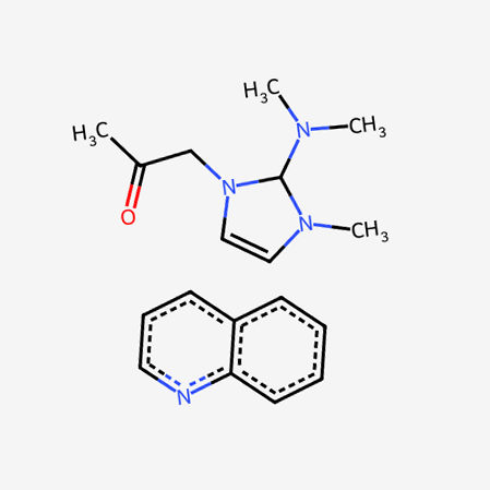 CC(=O)CN1C=CN(C)C1N(C)C.c1ccc2ncccc2c1